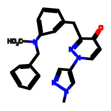 Cn1cc(-n2ccc(=O)c(Cc3cccc(N(Cc4ccccc4)C(=O)O)c3)n2)cn1